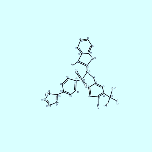 Cc1c(N(Cc2ccc(F)c(C(F)(F)F)c2)S(=O)(=O)c2ccc(-c3nnn[nH]3)cc2)sc2ccccc12